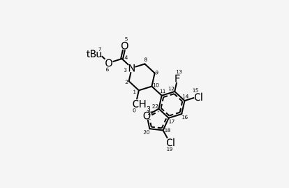 CC1CN(C(=O)OC(C)(C)C)CCC1c1c(F)c(Cl)cc2c(Cl)coc12